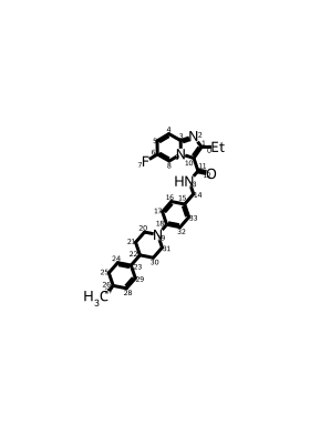 CCc1nc2ccc(F)cn2c1C(=O)NCc1ccc(N2CCC(C3=CCC(C)C=C3)CC2)cc1